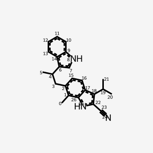 Cc1c(CC(C)c2c[nH]c3ccccc23)ccc2c(C(C)C)c(C#N)[nH]c12